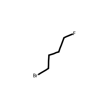 FCCCCBr